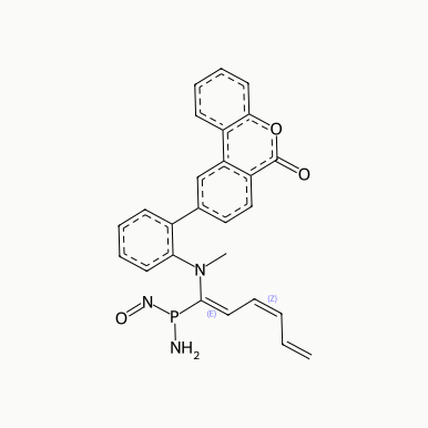 C=C/C=C\C=C(/N(C)c1ccccc1-c1ccc2c(=O)oc3ccccc3c2c1)P(N)N=O